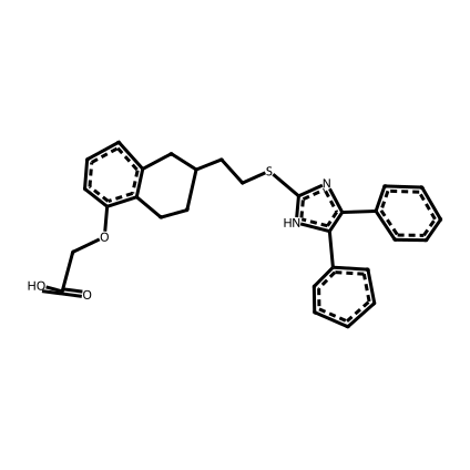 O=C(O)COc1cccc2c1CCC(CCSc1nc(-c3ccccc3)c(-c3ccccc3)[nH]1)C2